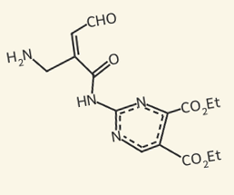 CCOC(=O)c1cnc(NC(=O)/C(=C\C=O)CN)nc1C(=O)OCC